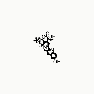 CCC1(O)C(=O)OC([Si](C)(C)C(C)(C)C)c2c1cc1n(c2=O)Cc2cc3cc(O)ccc3nc2-1